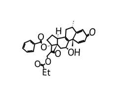 CCC(=O)OCC(=O)[C@@]1(OC(=O)c2ccccc2)CC[C@H]2C3=C([C@@H](O)C[C@@]21C)[C@@]1(C)C=CC(=O)C=C1[C@@H](C)C3